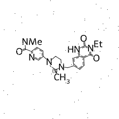 CCn1c(=O)[nH]c2cc(CN3CCN(c4ccc(C(=O)NC)nc4)C[C@@H]3C)ccc2c1=O